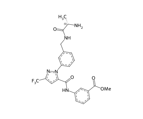 COC(=O)c1cccc(NC(=O)c2cc(C(F)(F)F)nn2-c2cccc(CNC(=O)[C@H](C)N)c2)c1